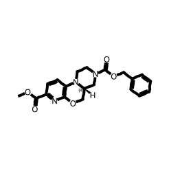 COC(=O)c1ccc2c(n1)OC[C@H]1CN(C(=O)OCc3ccccc3)CCN21